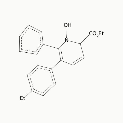 CCOC(=O)C1C=CC(c2ccc(CC)cc2)=C(c2ccccc2)N1O